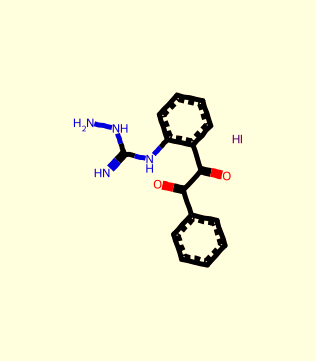 I.N=C(NN)Nc1ccccc1C(=O)C(=O)c1ccccc1